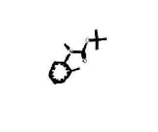 Cc1ccccc1N(C)C(=O)OC(C)(C)C